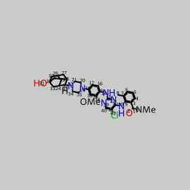 CNC(=O)c1cccc(C)c1Nc1nc(Nc2ccc(N3CCN([C@H]4C5CC6CC4C[C@](O)(C6)C5)CC3)cc2OC)ncc1Cl